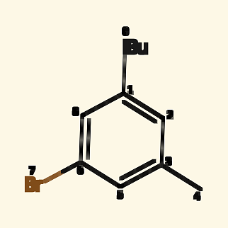 [CH2]C(CC)c1cc(C)cc(Br)c1